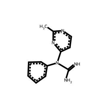 Cc1nccc(N(C(=N)N)c2ccccc2)n1